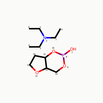 CCN(CC)CC.OP1OCC2OCCC2O1